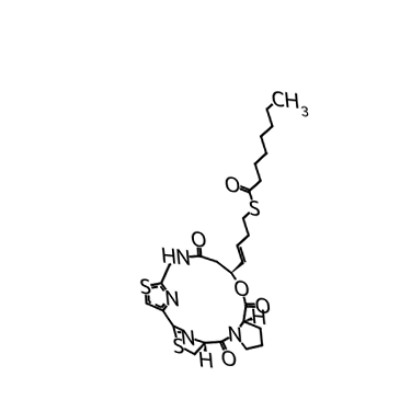 CCCCCCCC(=O)SCC/C=C/[C@@H]1CC(=O)NCc2nc(cs2)C2=N[C@@H](CS2)C(=O)N2CCC[C@H]2C(=O)O1